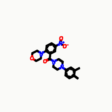 Cc1ccc(N2CCN(C(=O)c3cc([N+](=O)[O-])ccc3N3CCOCC3)CC2)cc1C